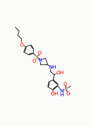 CCCCOc1ccc(S(=O)(=O)N2CC(NCC(O)c3ccc(O)c(NS(C)(=O)=O)c3)C2)cc1